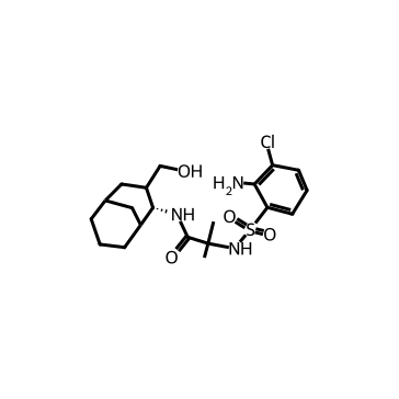 CC(C)(NS(=O)(=O)c1cccc(Cl)c1N)C(=O)N[C@H]1C(CO)CC2CCCC1C2